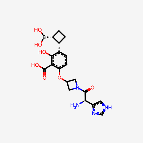 N[C@@H](C(=O)N1CC(Oc2ccc([C@H]3CC[C@H]3B(O)O)c(O)c2C(=O)O)C1)c1c[nH]cn1